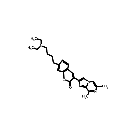 CCN(CC)CCCCc1ccc2cc(-c3cn4cc(C)nc(C)c4n3)c(=O)oc2c1